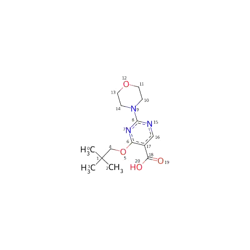 CC(C)(C)COc1nc(N2CCOCC2)ncc1C(=O)O